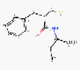 CC(C)CC(NC(=O)C(CS)Cc1ccccc1)C(=O)O